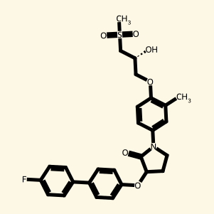 Cc1cc(N2CCC(Oc3ccc(-c4ccc(F)cc4)cc3)C2=O)ccc1OC[C@@H](O)CS(C)(=O)=O